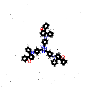 c1ccc2c(c1)oc1ccc3c(c4ccccc4n3-c3ccc(-c4nc(-c5ccc(-n6c7ccccc7c7c8c(ccc76)oc6ccccc68)cc5)nc(-c5ccc(-n6c7ccccc7c7c8c(ccc76)oc6ccccc68)cc5)n4)cc3)c12